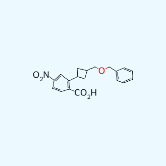 O=C(O)c1ccc([N+](=O)[O-])cc1C1CC(COCc2ccccc2)C1